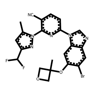 Cc1cc(C(F)F)nn1-c1nc(-n2cnc3cc(Br)c(OC4(C)COC4)cc32)ccc1C#N